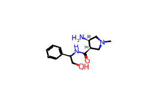 CN1C[C@H](N)[C@H](C(=O)NC(CO)c2ccccc2)C1